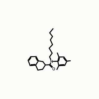 CCCCCCCCN(C(=O)C1CCc2ccccc2C1)c1c(C)cc(C)cc1C